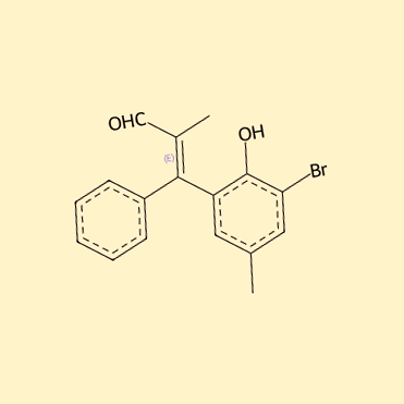 C/C(C=O)=C(/c1ccccc1)c1cc(C)cc(Br)c1O